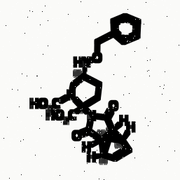 O=C(O)N1C[C@H](NOCc2ccccc2)CC[C@]1(C(=O)O)N1C(=O)[C@@H]2[C@H](C1=O)[C@@H]1C=C[C@H]2C1